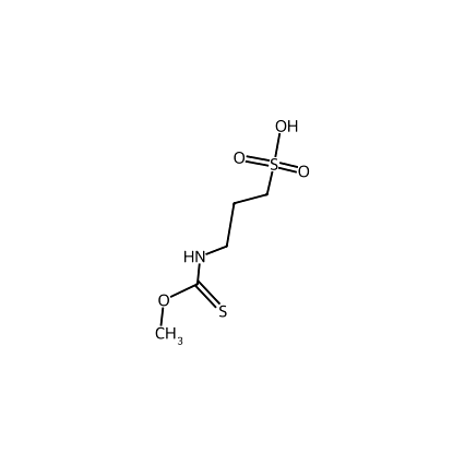 COC(=S)NCCCS(=O)(=O)O